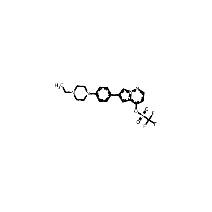 CCN1CCN(c2ccc(-c3cc4c(OS(=O)(=O)C(F)(F)F)ccnn4c3)cc2)CC1